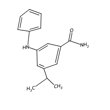 CC(C)c1cc(Nc2ccccc2)cc(C(N)=O)c1